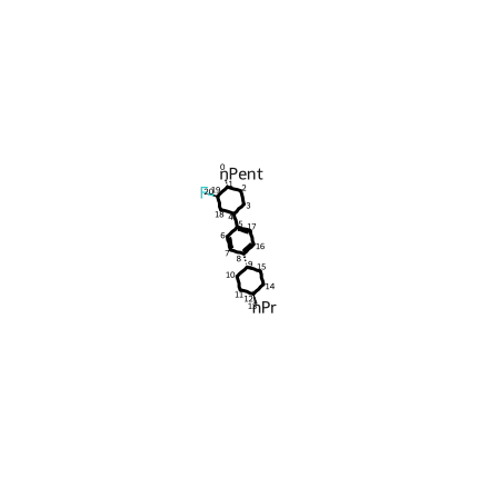 CCCCC[C@@H]1CCC(c2ccc([C@H]3CC[C@H](CCC)CC3)cc2)C[C@H]1F